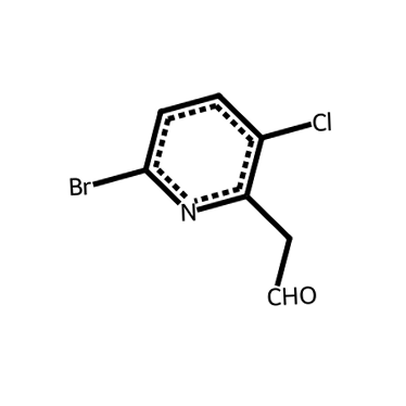 O=CCc1nc(Br)ccc1Cl